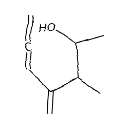 C=C=CC(=C)C(C)C(C)O